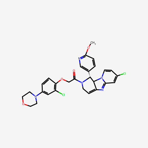 COc1ccc([C@@H]2C3C(=CCN2C(=O)COc2ccc(N4CCOCC4)cc2Cl)N=C2C=C(Cl)C=CN23)cn1